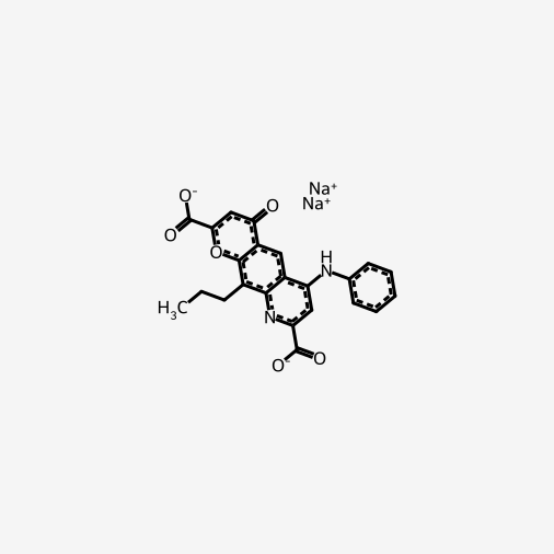 CCCc1c2nc(C(=O)[O-])cc(Nc3ccccc3)c2cc2c(=O)cc(C(=O)[O-])oc12.[Na+].[Na+]